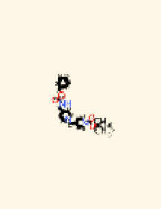 CC(C)(C)OC(=O)N1CCC(CN2CCC(CNC(=O)OCc3ccccc3)CC2)CC1